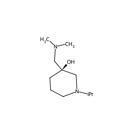 CC(C)N1CCC[C@](O)(CN(C)C)C1